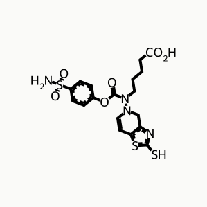 NS(=O)(=O)c1ccc(OC(=O)N(CCCCC(=O)O)N2C=Cc3sc(S)nc3C2)cc1